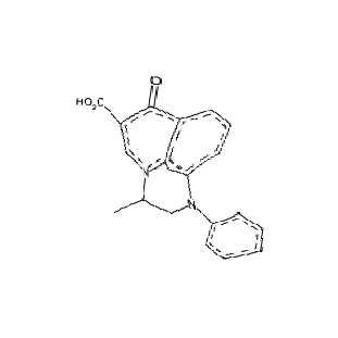 CC1CN(c2ccccc2)c2cccc3c(=O)c(C(=O)O)cn1c23